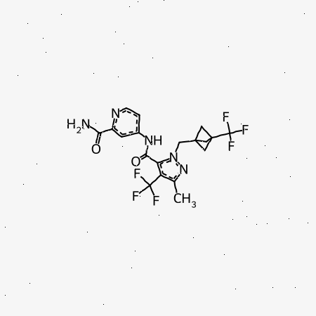 Cc1nn(CC23CC(C(F)(F)F)(C2)C3)c(C(=O)Nc2ccnc(C(N)=O)c2)c1C(F)(F)F